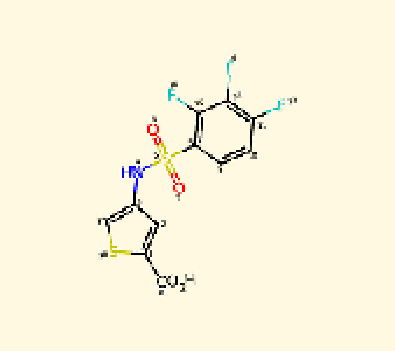 O=C(O)c1cc(NS(=O)(=O)c2ccc(F)c(F)c2F)cs1